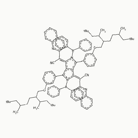 CC(CCC(COc1cccc(-c2c3/c(=C(\C#N)c4ccc5ccccc5n4)n(B(c4ccccc4)c4ccccc4)c(-c4cccc(OCC(CCC(C)CC(C)(C)C)C(C)CC(C)(C)C)c4)c3/c(=C(\C#N)c3ccc4ccccc4n3)n2B(c2ccccc2)c2ccccc2)c1)C(C)CC(C)(C)C)CC(C)(C)C